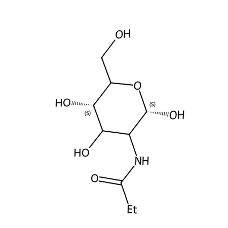 CCC(=O)NC1C(O)[C@H](O)C(CO)O[C@@H]1O